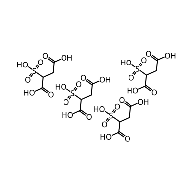 O=C(O)CC(C(=O)O)S(=O)(=O)O.O=C(O)CC(C(=O)O)S(=O)(=O)O.O=C(O)CC(C(=O)O)S(=O)(=O)O.O=C(O)CC(C(=O)O)S(=O)(=O)O